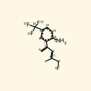 C=C(/C=C(\C)CF)c1cc(C(F)(F)F)ccc1N